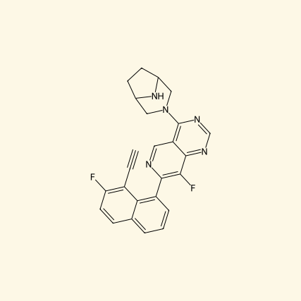 C#Cc1c(F)ccc2cccc(-c3ncc4c(N5CC6CCC(C5)N6)ncnc4c3F)c12